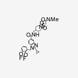 CNC(=O)CS(=O)(=O)N1CCC(CNC(=O)c2ccc3c(c2)nc(C2CC2)n3Cc2cccc3c2OC(F)(F)O3)CC1